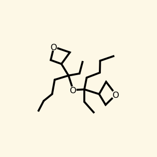 CCCCC(CC)(OC(CC)(CCCC)C1COC1)C1COC1